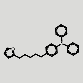 c1ccc(N(c2ccccc2)c2ccc(CCCCCc3ccco3)cc2)cc1